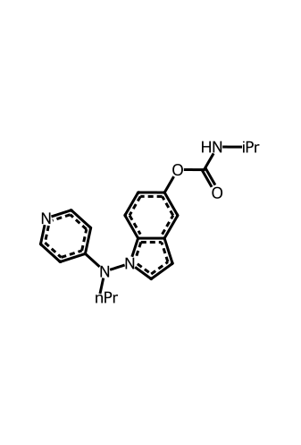 CCCN(c1ccncc1)n1ccc2cc(OC(=O)NC(C)C)ccc21